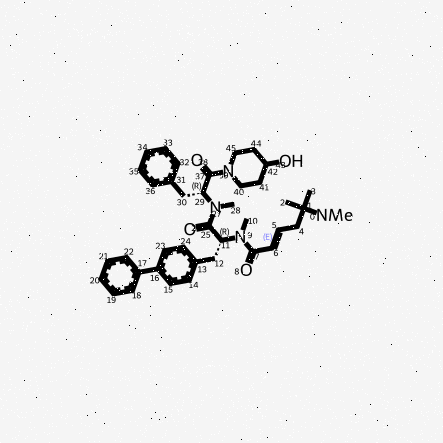 CNC(C)(C)C/C=C/C(=O)N(C)[C@H](Cc1ccc(-c2ccccc2)cc1)C(=O)N(C)[C@H](Cc1ccccc1)C(=O)N1CCC(O)CC1